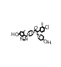 C[C@@H]1C[C@@H](O)c2ncnc(N3CCN(C(=O)[C@H](CN4CCC(O)CC4)c4ccc(Cl)c(F)c4)CC3)c21